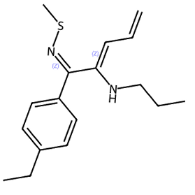 C=C/C=C(NCCC)/C(=N\SC)c1ccc(CC)cc1